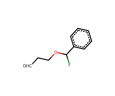 O=CCCOC(F)c1ccccc1